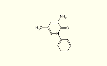 Cc1cc(N)c(=O)n(C2=CCCC=C2)n1